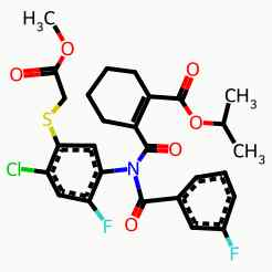 COC(=O)CSc1cc(N(C(=O)C2=C(C(=O)OC(C)C)CCCC2)C(=O)c2cccc(F)c2)c(F)cc1Cl